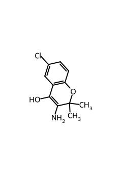 CC1(C)Oc2ccc(Cl)cc2C(O)=C1N